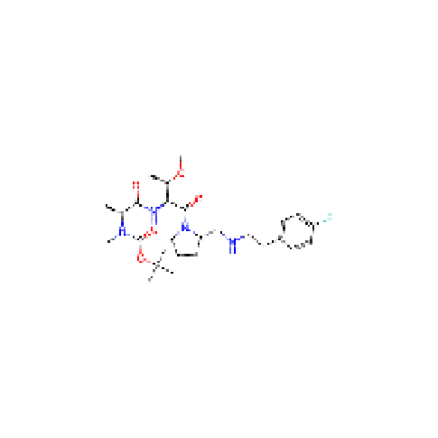 CO[C@H](C)[C@H](NC(=O)[C@H](C)N(C)C(=O)OC(C)(C)C)C(=O)N1CCC[C@H]1CNCCc1ccc(F)cc1